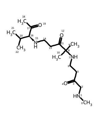 CNCC(=O)CCNC(C)(C)C(=O)CCN[C@H](C(C)=O)C(C)C